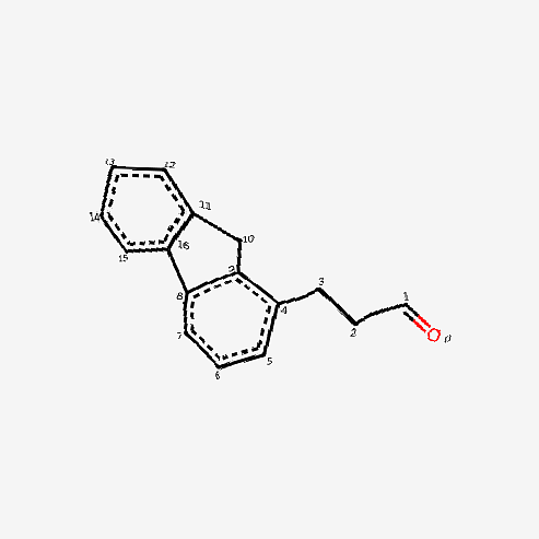 O=CCCc1cccc2c1Cc1ccccc1-2